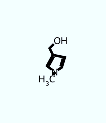 Cn1ccc(CO)c1